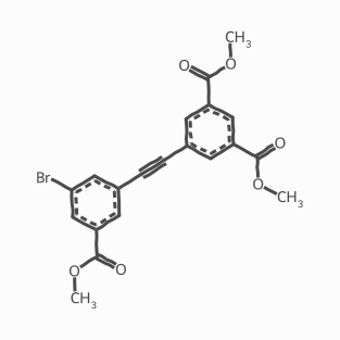 COC(=O)c1cc(Br)cc(C#Cc2cc(C(=O)OC)cc(C(=O)OC)c2)c1